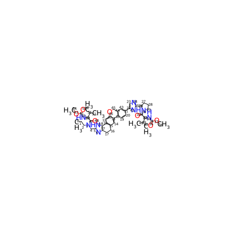 CCCN(Cc1nc2c([nH]1)-c1cc3c(cc1CC2)-c1ccc(-c2cnc([C@@H]4CCCN4C(=O)[C@@H](NC(=O)OC)C(C)C)[nH]2)cc1CO3)C(=O)[C@@H](NC(=O)OC)C(C)C